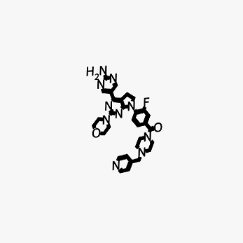 Nc1ncc(-c2nc(N3CCOCC3)nc3c2CCN3c2ccc(C(=O)N3CCN(Cc4ccncc4)CC3)cc2F)cn1